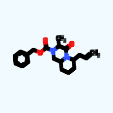 C=CCC1CCCC2CN(C(=O)OCc3ccccc3)C(C)C(=O)N12